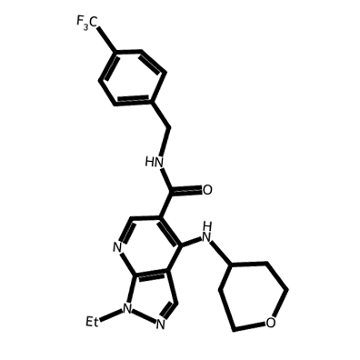 CCn1ncc2c(NC3CCOCC3)c(C(=O)NCc3ccc(C(F)(F)F)cc3)cnc21